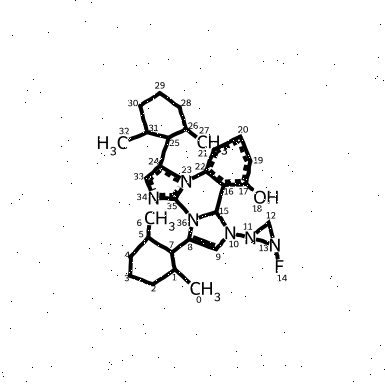 CC1CCCC(C)C1C1=CN(N2CN2F)C2c3c(O)cccc3-n3c(C4C(C)CCCC4C)cnc3N12